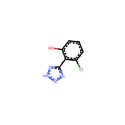 Oc1cccc(Cl)c1-c1nn[nH]n1